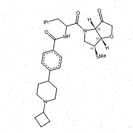 CS[C@H]1CN(C(=O)C(CC(C)C)NC(=O)c2ccc(C3CCN(C4CCC4)CC3)cc2)[C@@H]2C(=O)CO[C@H]12